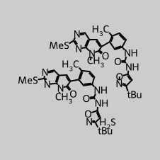 CSc1ncc2cc(-c3cc(NC(=O)Nc4cc(C(C)(C)C)no4)ccc3C)c(=O)n(C)c2n1.CSc1ncc2cc(-c3cc(NC(=O)Nc4cc(C(C)(C)C)no4)ccc3C)c(=O)n(C)c2n1.S